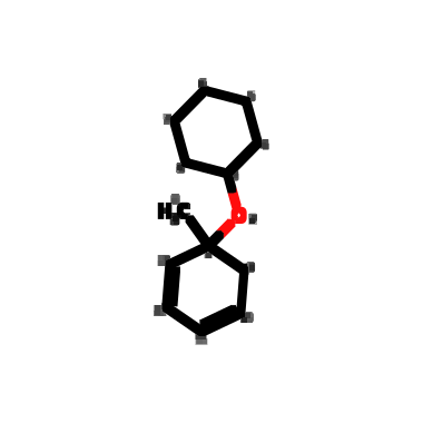 CC1(OC2CCCCC2)[CH]C=CC=C1